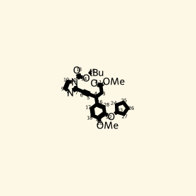 COC(=O)CC(C#Cc1nccn1C(=O)OC(C)(C)C)c1ccc(OC)c(OC2CCCC2)c1